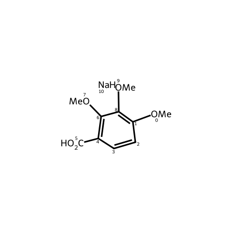 COc1ccc(C(=O)O)c(OC)c1OC.[NaH]